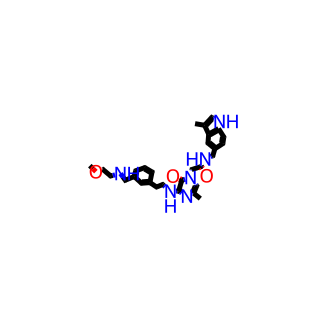 COCCNCc1cccc(CCNc2nc(C)cn(CC(=O)NCc3ccc4[nH]cc(C)c4c3)c2=O)c1